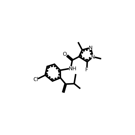 C=C(c1cc(Cl)ccc1NC(=O)c1c(C)nn(C)c1F)C(C)C